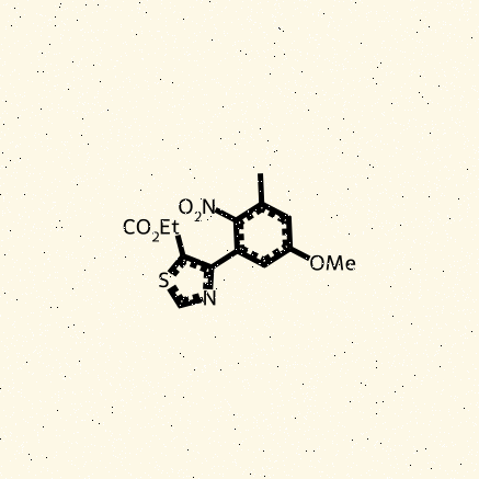 CCOC(=O)c1scnc1-c1cc(OC)cc(C)c1[N+](=O)[O-]